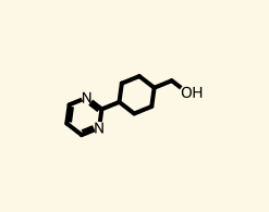 OCC1CCC(c2ncccn2)CC1